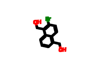 OCc1cccc2c(CO)c(Br)ccc12